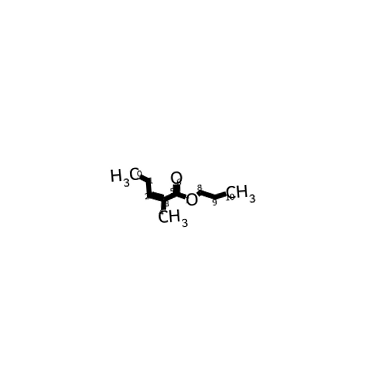 CCC=C(C)C(=O)OCCC